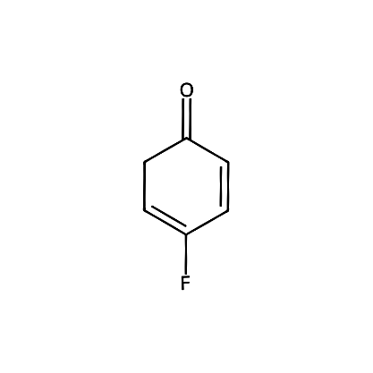 O=C1C=CC(F)=CC1